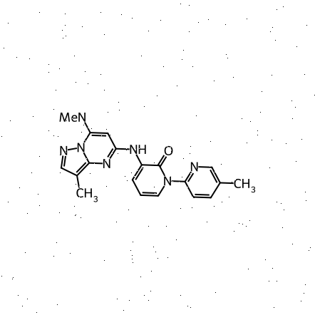 CNc1cc(Nc2cccn(-c3ccc(C)cn3)c2=O)nc2c(C)cnn12